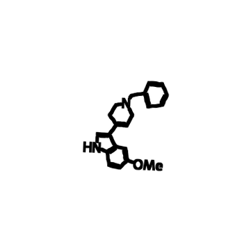 COc1ccc2[nH]cc(C3=CCN(Cc4ccccc4)CC3)c2c1